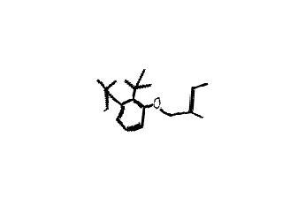 CCC(C)COc1cccc(C(C)(C)C)c1C(C)(C)C